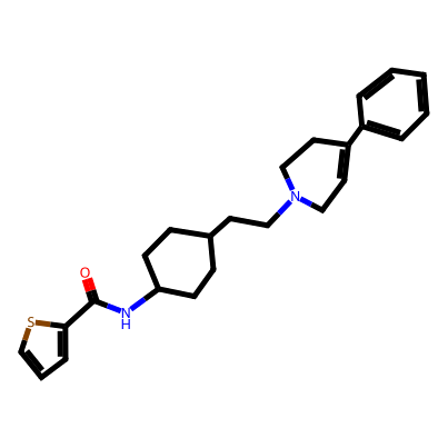 O=C(NC1CCC(CCN2CC=C(c3ccccc3)CC2)CC1)c1cccs1